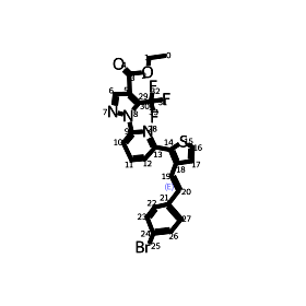 CCOC(=O)c1cnn(-c2cccc(-c3sccc3/C=C/c3ccc(Br)cc3)n2)c1C(F)(F)F